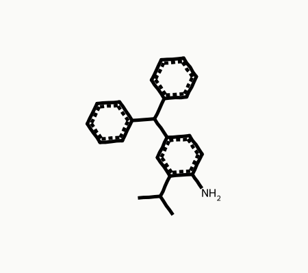 CC(C)c1cc(C(c2ccccc2)c2ccccc2)ccc1N